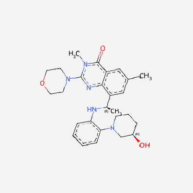 Cc1cc([C@@H](C)Nc2ccccc2N2CCC[C@@H](O)C2)c2nc(N3CCOCC3)n(C)c(=O)c2c1